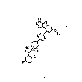 CCOc1cc(-c2cnc(N3CC[C@@](S)(NC(=O)c4cc(F)ccc4Cl)[C@@H](O)C3)cn2)c2c3cn[nH]c3nn2c1